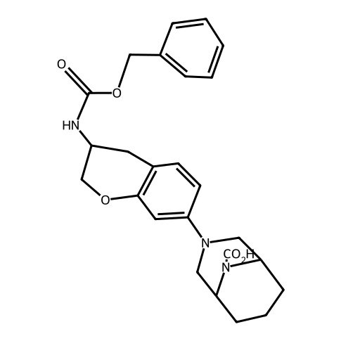 O=C(NC1COc2cc(N3CC4CCCC(C3)N4C(=O)O)ccc2C1)OCc1ccccc1